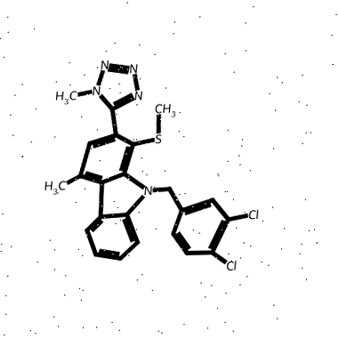 CSc1c(-c2nnnn2C)cc(C)c2c3ccccc3n(Cc3ccc(Cl)c(Cl)c3)c12